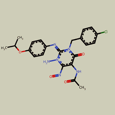 CC(=O)Nc1c(N=O)n(N)/c(=N\c2ccc(OC(C)C)cc2)n(Cc2ccc(Cl)cc2)c1=O